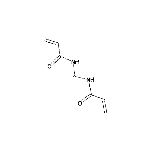 C=CC(=O)N[CH]NC(=O)C=C